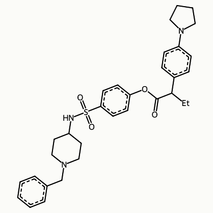 CCC(C(=O)Oc1ccc(S(=O)(=O)NC2CCN(Cc3ccccc3)CC2)cc1)c1ccc(N2CCCC2)cc1